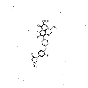 CC1COc2c(N3CCC(Oc4ccc(N5C[C@H](C)OC5=O)cc4F)CC3)c(F)cc3c(=O)c(C(=O)O)cn1c23